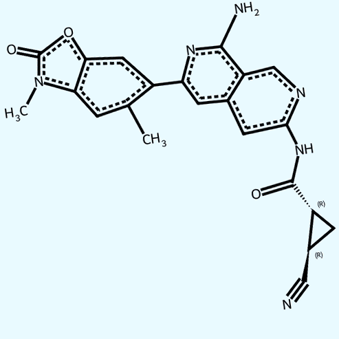 Cc1cc2c(cc1-c1cc3cc(NC(=O)[C@@H]4C[C@H]4C#N)ncc3c(N)n1)oc(=O)n2C